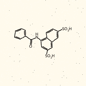 O=C(Nc1cc(S(=O)(=O)O)cc2cc(S(=O)(=O)O)ccc12)c1ccccc1